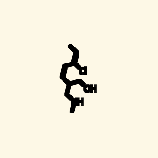 C/C=C(Cl)\C=C/C(CO)CNC